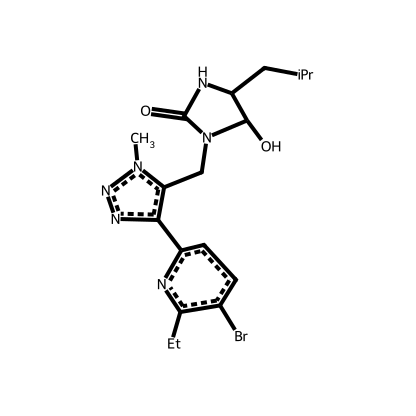 CCc1nc(-c2nnn(C)c2CN2C(=O)NC(CC(C)C)C2O)ccc1Br